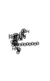 CC[C@@]1(O)C(=O)OCc2c1cc1n(c2=O)Cc2c-1nc1ccccc1c2CCN(C(=O)OCc1ccc(NC(=O)[C@H](C)NC(=O)[C@@H](NC(=O)[C@H](CCCCNC(=O)CN2C(=O)C=CC2=O)NC(=O)OCCOCCOCCOCCOCCOCCOCCOCCOC)C(C)C)c(O[C@@H]2O[C@H](C(=O)O)[C@@H](O)[C@H](O)[C@H]2O)c1)C(C)C